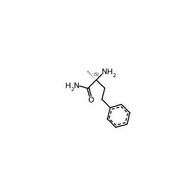 C[C@](N)(CCc1ccccc1)C(N)=O